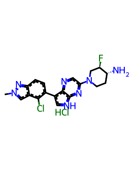 Cl.Cn1cc2c(Cl)c(-c3c[nH]c4nc(N5CC[C@@H](N)[C@H](F)C5)cnc34)ccc2n1